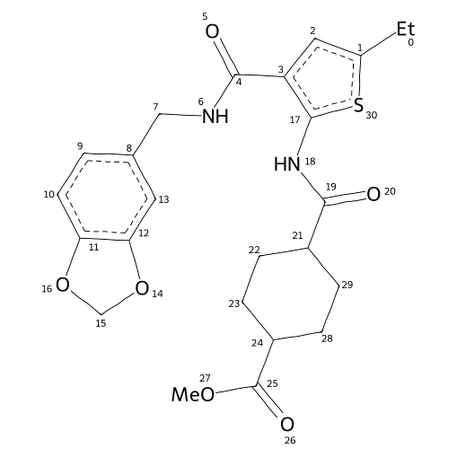 CCc1cc(C(=O)NCc2ccc3c(c2)OCO3)c(NC(=O)C2CCC(C(=O)OC)CC2)s1